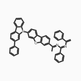 C=C(/N=C(\N=C(/C)c1ccc2c(c1)oc1cc(-n3c4ccccc4c4ccc(-c5ccccc5)cc43)ccc12)c1ccccc1)c1ccccc1